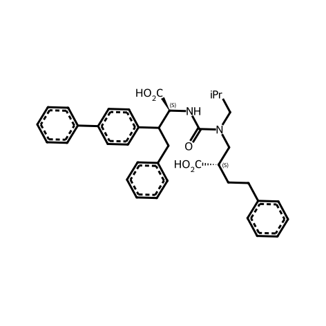 CC(C)CN(C[C@H](CCc1ccccc1)C(=O)O)C(=O)N[C@H](C(=O)O)C(Cc1ccccc1)c1ccc(-c2ccccc2)cc1